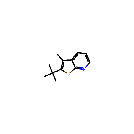 Cc1c(C(C)(C)C)sc2ncccc12